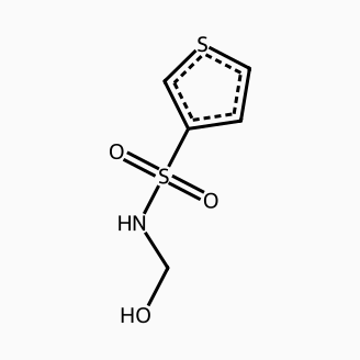 O=S(=O)(NCO)c1ccsc1